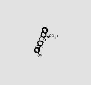 C[C@H]1CN(C[C@@H](Cc2ccccc2)C(=O)NCC(=O)O)CC[C@@]1(C)c1cccc(O)c1